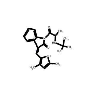 Cc1cc(C)c(/C=C2\C(=O)N(C(=O)C(C)NC(C)(C)C)c3ccccc32)[nH]1